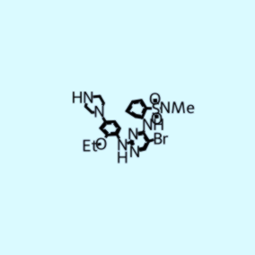 CCOc1cc(N2CCNCC2)ccc1Nc1ncc(Br)c(Nc2ccccc2S(=O)(=O)NC)n1